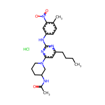 CCCCc1cc(N2CCCC(NC(C)=O)C2)nc(Nc2ccc(C)c([N+](=O)[O-])c2)n1.Cl